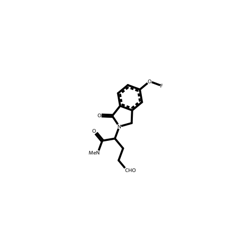 CNC(=O)C(CCC=O)N1Cc2cc(OF)ccc2C1=O